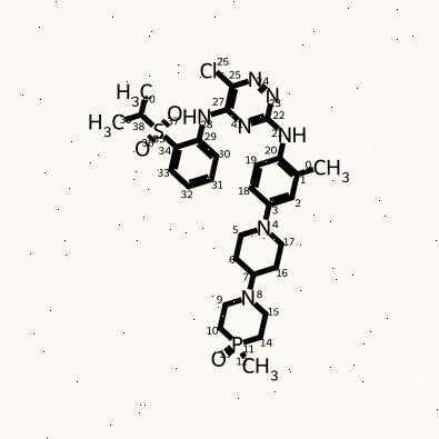 Cc1cc(N2CCC(N3CCP(C)(=O)CC3)CC2)ccc1Nc1nnc(Cl)c(Nc2ccccc2S(=O)(=O)C(C)C)n1